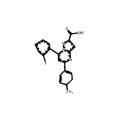 CC1C=CC(c2cc(-c3ccccc3F)n3nc(C(=O)O)cc3n2)=CC1